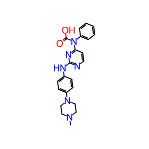 CN1CCN(c2ccc(Nc3nccc(N(C(=O)O)c4ccccc4)n3)cc2)CC1